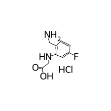 Cl.NCc1ccc(F)cc1NCC(=O)O